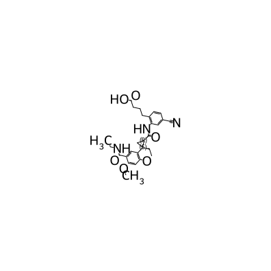 CCNC(=O)c1cc2c(cc1OC)OCC[C@]21C[C@H]1C(=O)Nc1cc(C#N)ccc1CCCC(=O)O